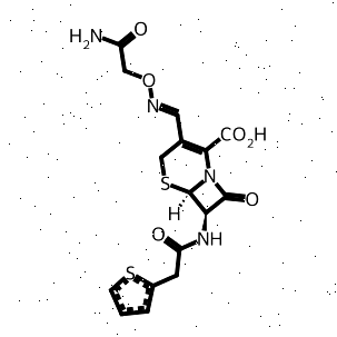 NC(=O)CO/N=C/C1=C(C(=O)O)N2C(=O)[C@@H](NC(=O)Cc3cccs3)[C@H]2SC1